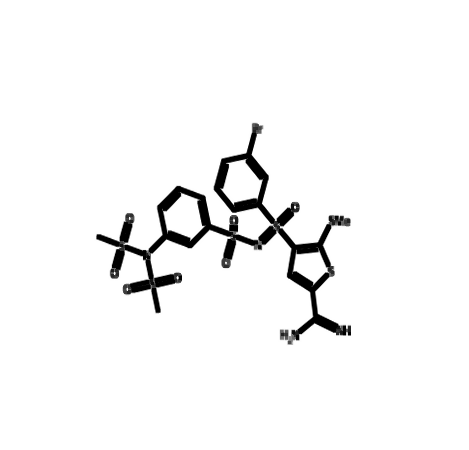 CSc1sc(C(=N)N)cc1S(=O)(=NS(=O)(=O)c1cccc(N(S(C)(=O)=O)S(C)(=O)=O)c1)c1cccc(Br)c1